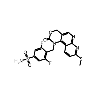 CSc1ccc2c3c(cnc2n1)COC(=O)N3Cc1c(F)cc(S(N)(=O)=O)cc1F